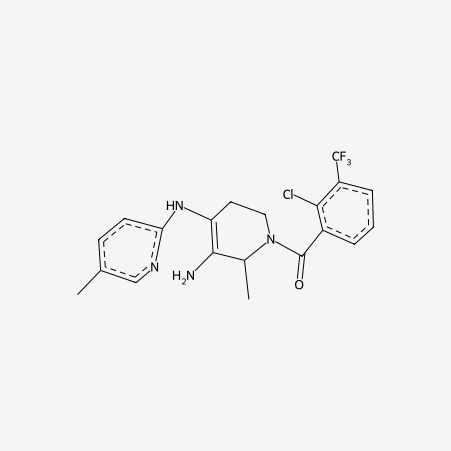 Cc1ccc(NC2=C(N)C(C)N(C(=O)c3cccc(C(F)(F)F)c3Cl)CC2)nc1